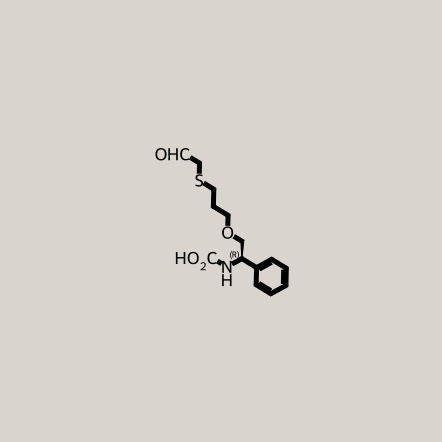 O=CCSCCCOC[C@H](NC(=O)O)c1ccccc1